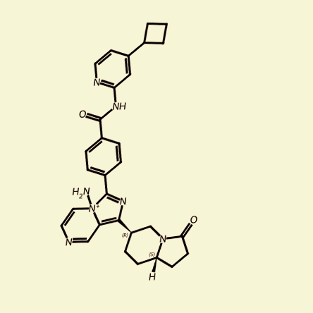 N[N+]12C=CN=CC1=C([C@@H]1CC[C@H]3CCC(=O)N3C1)N=C2c1ccc(C(=O)Nc2cc(C3CCC3)ccn2)cc1